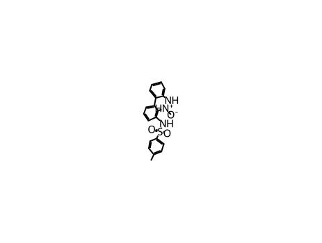 Cc1ccc(S(=O)(=O)Nc2cccc3c2[NH+]([O-])Nc2ccccc2-3)cc1